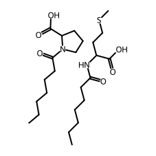 CCCCCCC(=O)N1CCCC1C(=O)O.CCCCCCC(=O)NC(CCSC)C(=O)O